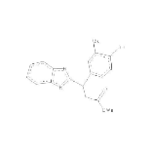 COC(=O)CC(c1ccc(O)c(C(C)(C)C)c1)n1nc2ccccc2n1